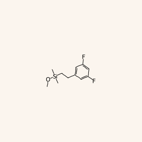 CO[Si](C)(C)CCc1cc(F)cc(F)c1